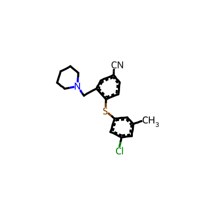 Cc1cc(Cl)cc(Sc2ccc(C#N)cc2CN2CCCCC2)c1